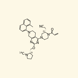 C=CC(=O)N1CCN(c2nc(OC[C@@H]3CCCN3[14CH3])nc3c2CCN(c2cccc4cccc(C)c24)C3)C[C@@H]1CC#N